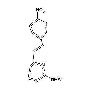 CC(=O)Nc1nccc(C=Cc2ccc([N+](=O)[O-])cc2)n1